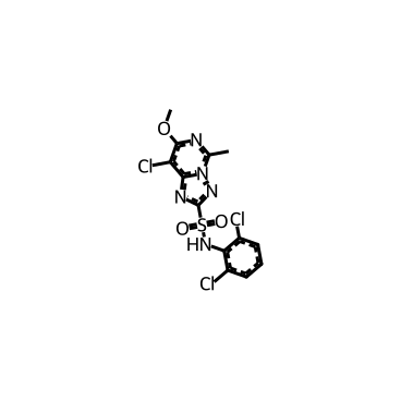 COc1nc(C)n2nc(S(=O)(=O)Nc3c(Cl)cccc3Cl)nc2c1Cl